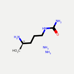 N.N.NC(=O)NCCC[C@H](N)C(=O)O